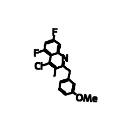 COc1cccc(Cc2nc3cc(F)cc(F)c3c(Cl)c2C)c1